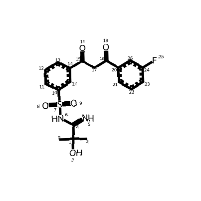 CC(C)(O)C(=N)NS(=O)(=O)c1cccc(C(=O)CC(=O)c2cccc(F)c2)c1